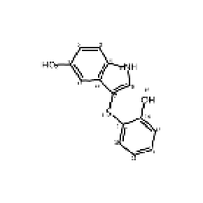 Oc1ccc2[nH]cc(Sc3ccccc3O)c2c1